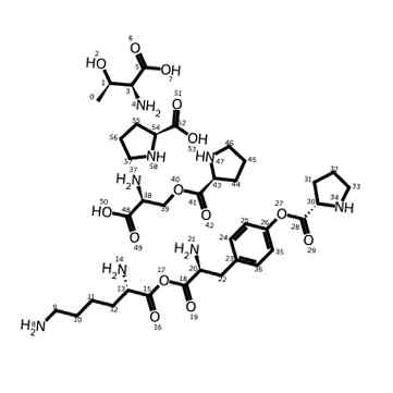 C[C@@H](O)[C@H](N)C(=O)O.NCCCC[C@H](N)C(=O)OC(=O)[C@@H](N)Cc1ccc(OC(=O)[C@@H]2CCCN2)cc1.N[C@@H](COC(=O)[C@@H]1CCCN1)C(=O)O.O=C(O)[C@@H]1CCCN1